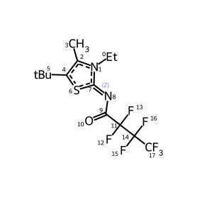 CCn1c(C)c(C(C)(C)C)s/c1=N\C(=O)C(F)(F)C(F)(F)C(F)(F)F